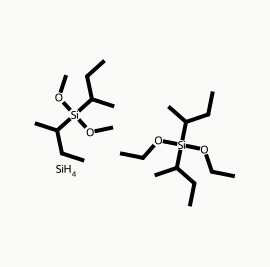 CCC(C)[Si](OC)(OC)C(C)CC.CCO[Si](OCC)(C(C)CC)C(C)CC.[SiH4]